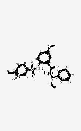 CC[C@H](NC(=O)c1cc(OC)ccc1NS(=O)(=O)c1ccc(C)nc1)c1ccccc1